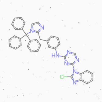 Clc1nc2ccccc2n1-c1ncnc(Nc2cccc(Cc3nccn3C(c3ccccc3)(c3ccccc3)c3ccccc3)c2)n1